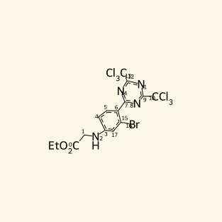 CCOC(=O)CNc1ccc(-c2nc(C(Cl)(Cl)Cl)nc(C(Cl)(Cl)Cl)n2)c(Br)c1